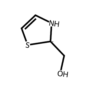 OC[C]1NC=CS1